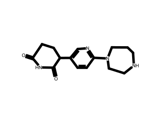 O=C1CCC(c2ccc(N3CCCNCC3)nc2)C(=O)N1